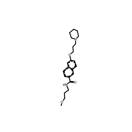 COCCCNC(=O)c1ccc2cc(OCCCN3CCCCC3)ccc2c1